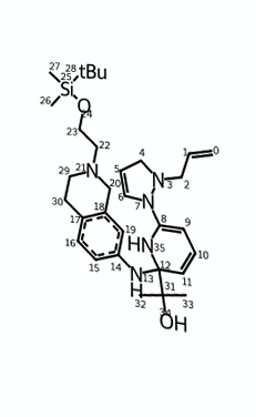 C=CCN1CC=CN1C1=CC=CC(Nc2ccc3c(c2)CN(CCO[Si](C)(C)C(C)(C)C)CC3)(C(C)(C)O)N1